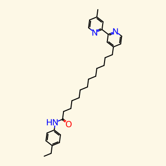 CCc1ccc(NC(=O)CCCCCCCCCCCCc2ccnc(-c3cc(C)ccn3)c2)cc1